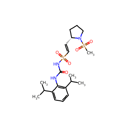 CC(C)c1cccc(C(C)C)c1NC(=O)NS(=O)(=O)/C=C/[C@@H]1CCCN1S(C)(=O)=O